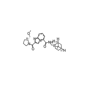 COC[C@H]1CCCN1C(=O)c1cn2c(C(=O)NC[C@@H]3CC[C@H]4C[C@@H]3C4(C)C)cccc2n1